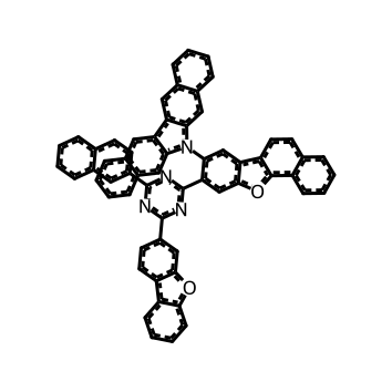 c1ccc2cc(-c3nc(-c4ccc5c(c4)oc4ccccc45)nc(-c4cc5oc6c7ccccc7ccc6c5cc4-n4c5cc6ccccc6cc5c5cc6ccccc6cc54)n3)ccc2c1